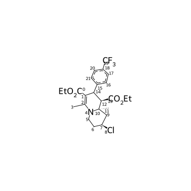 CCOC(=O)C1=C(C)N2CC[C@H](Cl)C[C@]2(C)[C@H](C(=O)OCC)C1c1ccc(C(F)(F)F)cc1